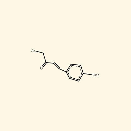 CSc1ccc(C=CC(=O)CC(C)=O)cc1